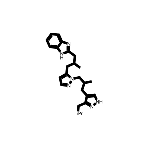 CC(C)Cc1n[nH]cc1CC(C)Cn1nccc1CC(C)Cc1nc2ccccc2[nH]1